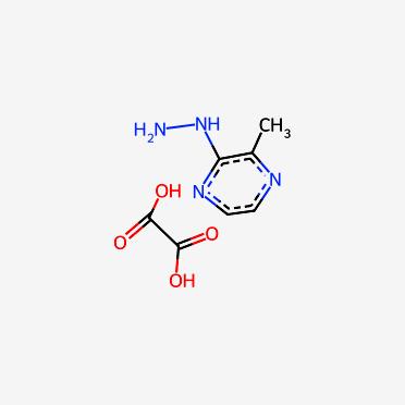 Cc1nccnc1NN.O=C(O)C(=O)O